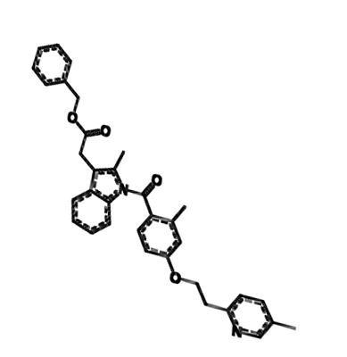 Cc1ccc(CCOc2ccc(C(=O)n3c(C)c(CC(=O)OCc4ccccc4)c4ccccc43)c(C)c2)nc1